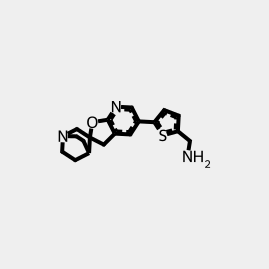 NCc1ccc(-c2cnc3c(c2)CC2(CN4CCC2CC4)O3)s1